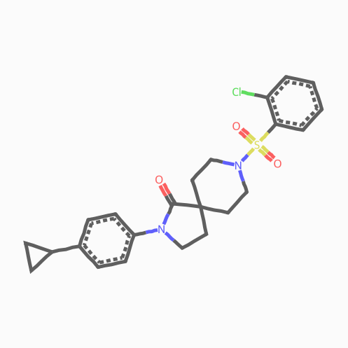 O=C1N(c2ccc(C3CC3)cc2)CCC12CCN(S(=O)(=O)c1ccccc1Cl)CC2